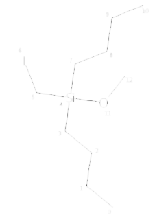 CCCC[Si](CI)(CCCC)OC